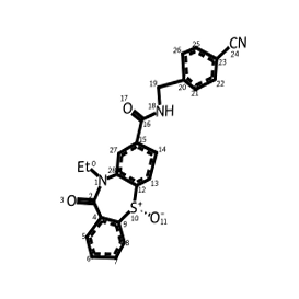 CCN1C(=O)c2ccccc2[S@@+]([O-])c2ccc(C(=O)NCc3ccc(C#N)cc3)cc21